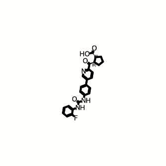 O=C(Nc1ccc(-c2ccc(C(=O)[C@@H]3CCC[C@H]3C(=O)O)nc2)cc1)Nc1ccccc1F